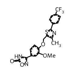 COc1cc(-c2noc(=O)[nH]2)ccc1OCc1sc(-c2ccc(C(F)(F)F)cc2)nc1C